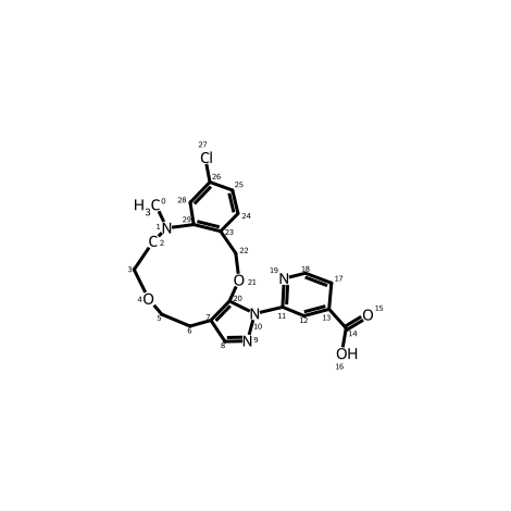 CN1CCOCCc2cnn(-c3cc(C(=O)O)ccn3)c2OCc2ccc(Cl)cc21